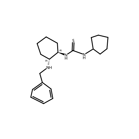 S=C(NC1CCCCC1)N[C@@H]1CCCC[C@H]1NCc1ccccc1